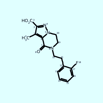 Cc1c(C(=O)O)nn2c1C(=O)N(CCc1ccccc1F)CC2